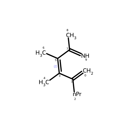 C=C(CCC)/C(C)=C(/C)C(C)=N